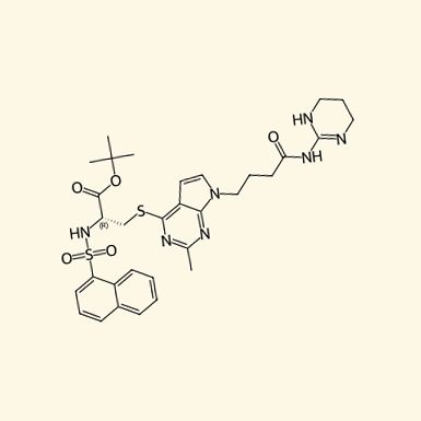 Cc1nc(SC[C@H](NS(=O)(=O)c2cccc3ccccc23)C(=O)OC(C)(C)C)c2ccn(CCCC(=O)NC3=NCCCN3)c2n1